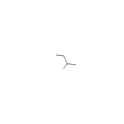 CC(O)[CH][AsH2]